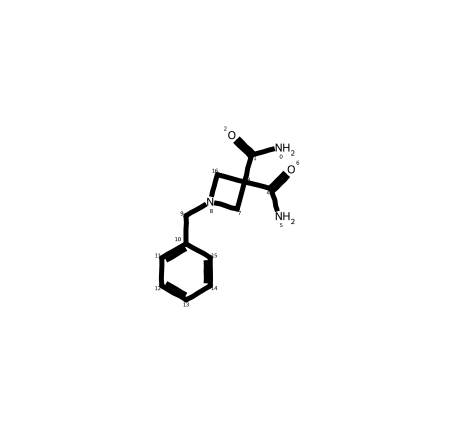 NC(=O)C1(C(N)=O)CN(Cc2ccccc2)C1